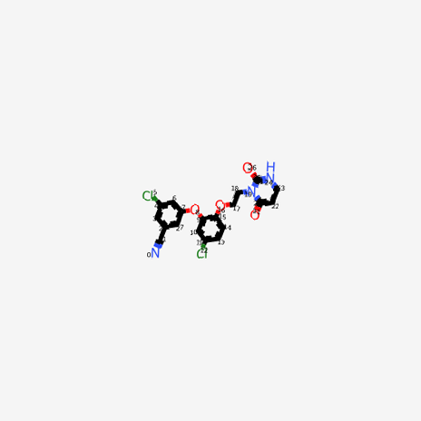 N#Cc1cc(Cl)cc(Oc2cc(Cl)ccc2OCCn2c(=O)cc[nH]c2=O)c1